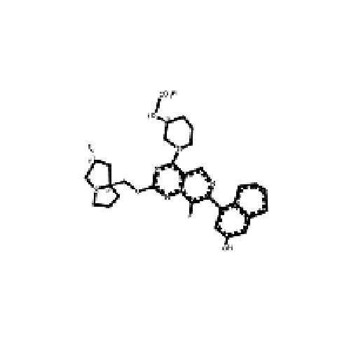 O=C(O)N[C@H]1CCCN(c2nc(OC[C@@]34CCCN3C[C@H](F)C4)nc3c(F)c(-c4cc(O)cc5ccccc45)ncc23)C1